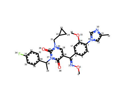 CO/N=C(\c1ccc(-n2cnc(C)c2)c(OC)c1)c1cn(CC2CC2)c(=O)n(C(C)c2ccc(F)cc2)c1=O